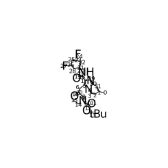 Cc1ccn2c(C[C@H]3CN(C(=O)OC(C)(C)C)CCO3)c(C(=O)Nc3cc(F)cc(F)c3)nc2c1